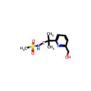 CC(C)(CNS(C)(=O)=O)c1cccc(CO)n1